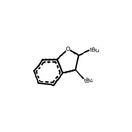 CC(C)(C)C1Oc2ccccc2C1C(C)(C)C